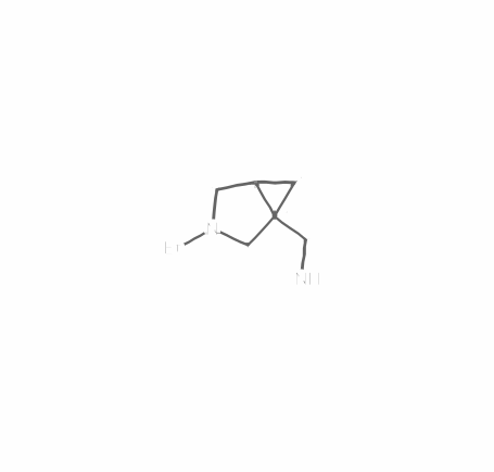 CCN1CC2CC2(CN)C1